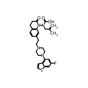 C=C(C)CN(C(=O)O)N1C(=O)CCc2ccc(CCN3CCN(c4cc(F)cc5sccc45)CC3)cc21